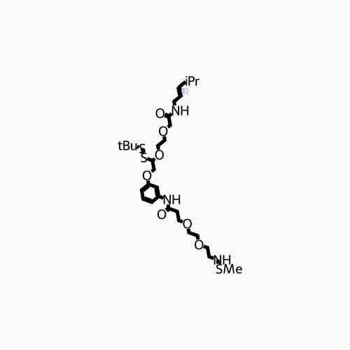 CSNCCOCCOCCC(=O)Nc1cccc(OCC(OCCOCC(=O)NC/C=C/C(C)C)SSC(C)(C)C)c1